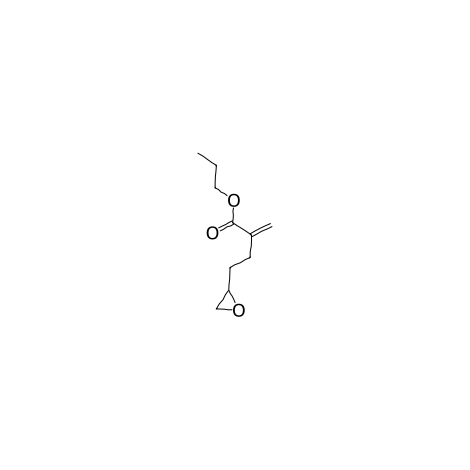 C=C(CCC1CO1)C(=O)OCCC